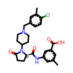 Cc1cc(NC(=O)[C@H]2CCC(=O)N2C2CCN(Cc3ccc(Cl)c(C)c3)CC2)cc(C(=O)O)c1